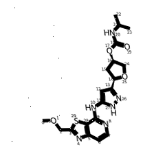 COCc1nc2ccnc(Nc3cc([C@H]4C[C@@H](OC(=O)NC(C)C)CO4)n[nH]3)c2s1